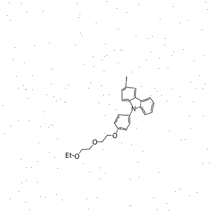 CCOCCOCCOc1ccc(-n2c3ccccc3c3cc(I)ccc32)cc1